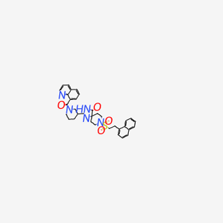 O=C(c1cccc2cccnc12)N1CCCC(C2=NC3(CCN(S(=O)(=O)CCc4cccc5ccccc45)CC3)C(=O)N2)C1